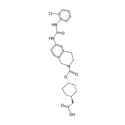 O=C(O)C[C@H]1CC[C@H](OC(=O)N2CCc3cc(NC(=O)Nc4ccccc4Cl)ccc3C2)CC1